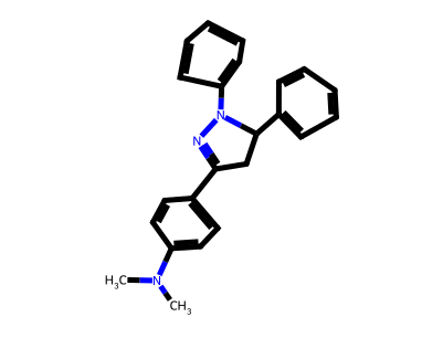 CN(C)c1ccc(C2=NN(c3ccccc3)C(c3ccccc3)C2)cc1